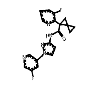 O=C(Nc1ccn(-c2cncc(F)c2)n1)C1(c2ncccc2F)CC12CC2